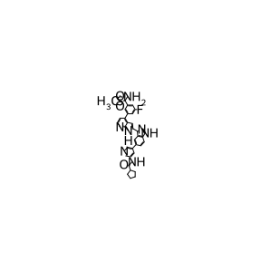 CS(=O)(=O)C(N)c1cc(F)cc(-c2ccnc3[nH]c(-c4n[nH]c5ccc(-c6cncc(NC(=O)C7CCCC7)c6)cc45)cc23)c1